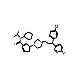 CC(C)N(C(=O)c1cccc(N2CCN(CCC(c3ccc(Cl)cc3)c3ccc(Cl)cc3)CC2)c1)C1CCCCC1